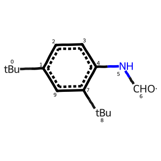 CC(C)(C)c1ccc(N[C]=O)c(C(C)(C)C)c1